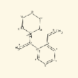 C=Cc1ccccc1C(=C)[SiH]1CCCCO1